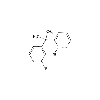 CC(C)c1nccc2c1Nc1ccccc1C2(C)C